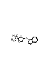 CC1(C)OCC(Cn2ccc3ccccc32)O1